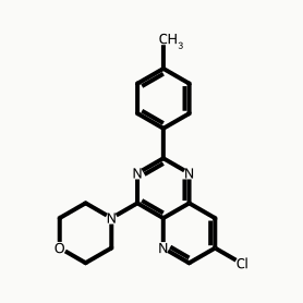 Cc1ccc(-c2nc(N3CCOCC3)c3ncc(Cl)cc3n2)cc1